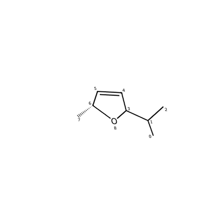 CC(C)C1C=C[C@@H](C)O1